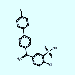 C=C(c1ccc(-c2ccc(F)cc2)cc1)c1ccc(Cl)c(S(N)(=O)=O)c1